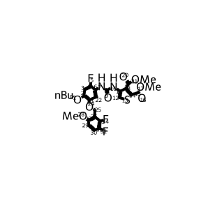 CCCCOc1cc(F)c(NC(=O)Nc2csc(C(=O)OC)c2C(=O)OC)cc1OCc1c(OC)ccc(F)c1F